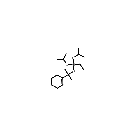 CC[Si](OC(C)C)(OC(C)C)OC(C)(C)C1=CCCCC1